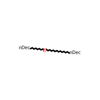 CCCCCCCCCCCCCCCCCCCCCCC[CH]OCCCCCCCCCCCCCCCCCC